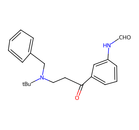 CC(C)(C)N(CCC(=O)c1cccc(NC=O)c1)Cc1ccccc1